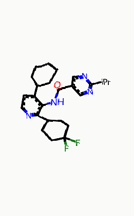 CC(C)c1ncc(C(=O)Nc2c(C3CCCCC3)ccnc2C2CCC(F)(F)CC2)cn1